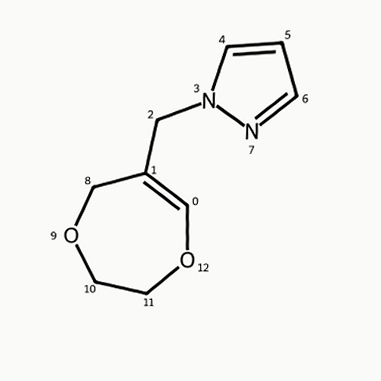 C1=C(Cn2cccn2)COCCO1